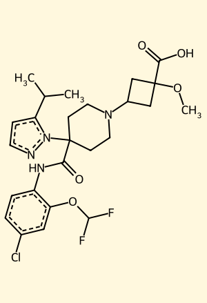 COC1(C(=O)O)CC(N2CCC(C(=O)Nc3ccc(Cl)cc3OC(F)F)(n3nccc3C(C)C)CC2)C1